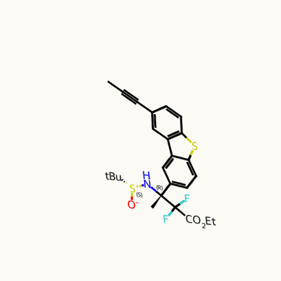 CC#Cc1ccc2sc3ccc([C@@](C)(N[S@+]([O-])C(C)(C)C)C(F)(F)C(=O)OCC)cc3c2c1